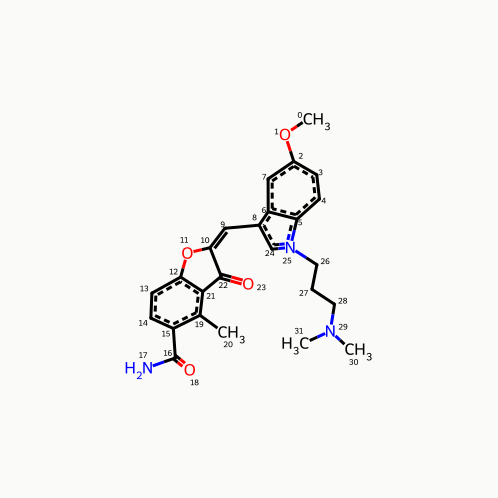 COc1ccc2c(c1)c(C=C1Oc3ccc(C(N)=O)c(C)c3C1=O)cn2CCCN(C)C